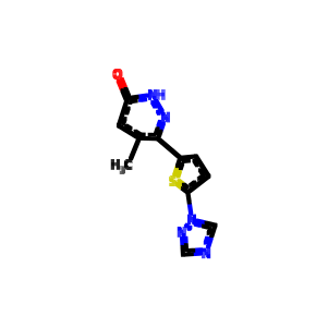 Cc1cc(=O)[nH]nc1-c1ccc(-n2cncn2)s1